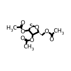 CC(=O)OC[C@H]1OSC(OC(C)=O)C1OC(C)=O